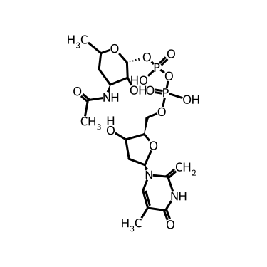 C=C1NC(=O)C(C)=CN1[C@H]1CC(O)[C@@H](COP(=O)(O)OP(=O)(O)O[C@H]2OC(C)C[C@H](NC(C)=O)C2O)O1